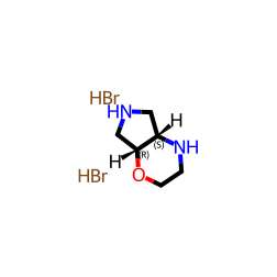 Br.Br.C1CO[C@@H]2CNC[C@@H]2N1